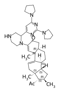 CC(=O)[C@H]1[C@H](C)C[C@H]2[C@@H]3CC[C@@H]4CC(=O)C(N5CCNCC5c5cc(N6CCCC6)nc(N6CCCC6)n5)=C[C@]4(C)C3=CC[C@@]21C